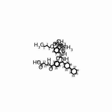 CCCCOc1ccc(NC(=O)NC(c2ccc(C(=O)NCCC(=O)O)cc2)C2CCC(C3CCCCC3)CC2)c(S(C)(=O)=O)c1S(C)(=O)=O